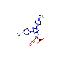 CN1CCN(c2nc(N[C@@H](CSN=O)C(=O)O)nc(N3CCN(C)CC3)n2)CC1